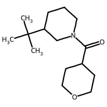 CC(C)(C)C1CCCN(C(=O)C2CCOCC2)C1